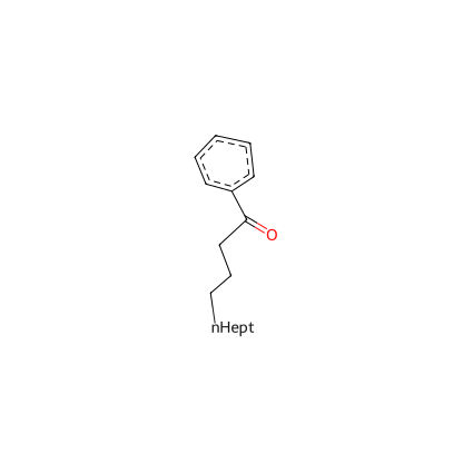 CCCCCCCCCCC(=O)c1ccccc1